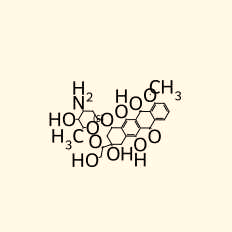 COc1cccc2c1C(=O)c1c(O)c3c(c(O)c1C2=O)CC(O)(C(=O)CO)CC3O[C@@H]1CC(N)C(O)C(C)O1